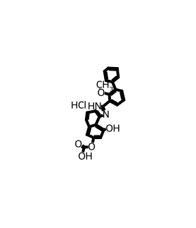 COc1c(-c2ccccc2)cccc1-c1nc2c(ccc3cc(OC(=O)O)cc(O)c32)[nH]1.Cl